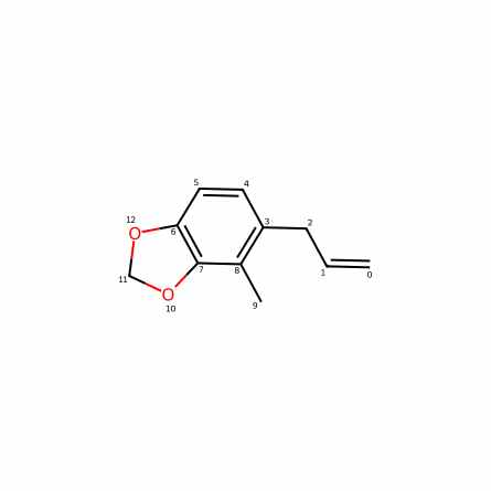 C=CCc1ccc2c(c1C)OCO2